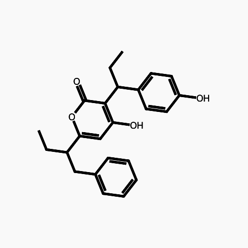 CCC(Cc1ccccc1)c1cc(O)c(C(CC)c2ccc(O)cc2)c(=O)o1